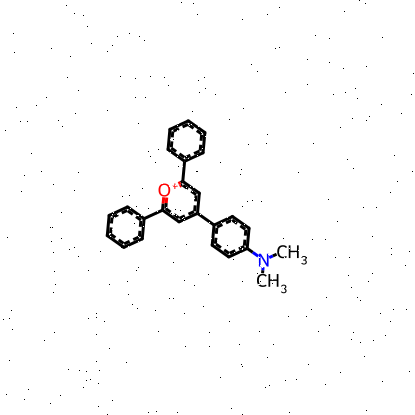 CN(C)c1ccc(-c2cc(-c3ccccc3)[o+]c(-c3ccccc3)c2)cc1